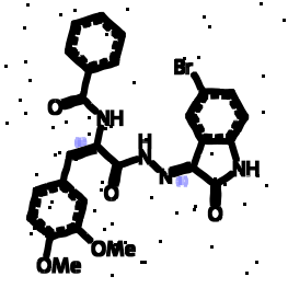 COc1ccc(/C=C(/NC(=O)c2ccccc2)C(=O)N/N=C2/C(=O)Nc3ccc(Br)cc32)cc1OC